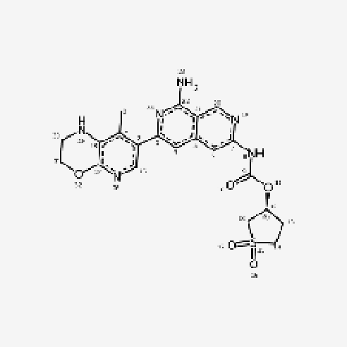 Cc1c(-c2cc3cc(NC(=O)O[C@H]4CCS(=O)(=O)C4)ncc3c(N)n2)cnc2c1NCCO2